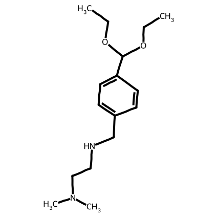 CCOC(OCC)c1ccc(CNCCN(C)C)cc1